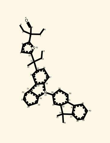 CCC(C=O)(CC)c1ccc(C(C)(CC)c2ccc3c(c2)c2ccccc2n3-c2ccc3c(c2)C(C)(C)c2ccccc2-3)s1